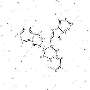 c1ccc2c(c1)SC(=C1c3nc4ccccc4nc3-c3nc4ccccc4nc31)S2